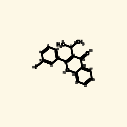 CC(C)c1c(-c2cccc(F)c2)oc2ccccc2c1=O